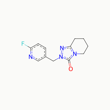 O=c1n(Cc2ccc(F)nc2)nc2n1CCCC2